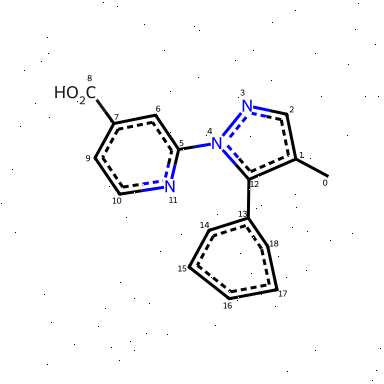 Cc1cnn(-c2cc(C(=O)O)ccn2)c1-c1ccccc1